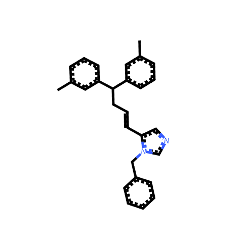 Cc1cccc(C(CC=Cc2cncn2Cc2ccccc2)c2cccc(C)c2)c1